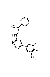 Cc1cc(-c2cc(NCC(O)c3ccccc3)ncn2)cc(F)c1F